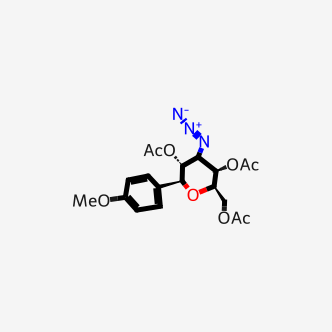 COc1ccc([C@@H]2O[C@H](COC(C)=O)[C@H](OC(C)=O)C(N=[N+]=[N-])[C@H]2OC(C)=O)cc1